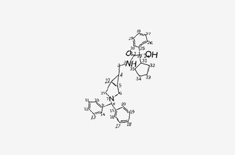 O=C(NCC1C2CN(C(c3ccccc3)c3ccccc3)CC12)[C@@](O)(c1ccccc1)C1CCCC1